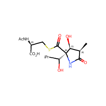 CC(=O)N[C@@H](CSC(=O)[C@]1(C(O)C(C)C)NC(=O)[C@H](C)[C@@H]1O)C(=O)O